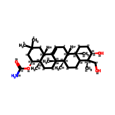 CC1(C)C[C@@H]2C3=CC[C@@H]4[C@@]5(C)CC[C@H](O)[C@@](C)(CO)C5CC[C@@]4(C)[C@]3(C)CC[C@@]2(C)[C@H](OC(N)=O)C1